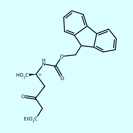 CCOC(=O)CC(=O)C[C@H](NC(=O)OCC1c2ccccc2-c2ccccc21)C(=O)O